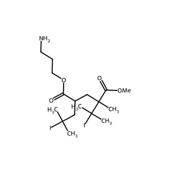 COC(=O)C(C)(CC(CC(C)(C)I)C(=O)OCCCN)C(C)(C)I